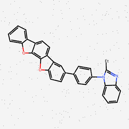 CCc1nc2ccccc2n1-c1ccc(-c2ccc3oc4c(ccc5c6ccccc6oc54)c3c2)cc1